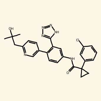 CC(C)(O)Cc1ccc(-c2ccc(NC(=O)C3(c4cccc(Cl)c4)CC3)cc2-c2nnn[nH]2)cn1